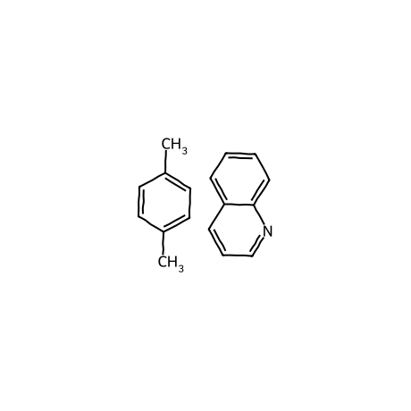 Cc1ccc(C)cc1.c1ccc2ncccc2c1